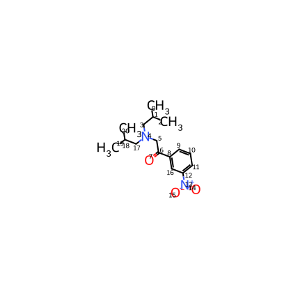 CC(C)CN(CC(=O)c1cccc([N+](=O)[O-])c1)CC(C)C